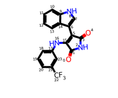 O=C1NC(=O)C(c2c[nH]c3ccccc23)=C1Nc1cccc(C(F)(F)F)c1